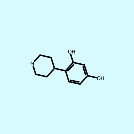 Oc1ccc(C2CC[N]CC2)c(O)c1